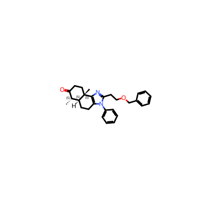 C[C@@H]1C(=O)CC[C@]2(C)c3nc(CCOCc4ccccc4)n(-c4ccccc4)c3CC[C@@H]12